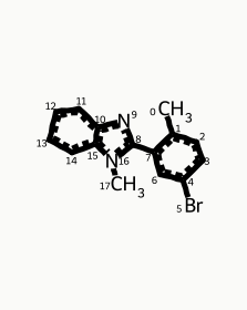 Cc1ccc(Br)cc1-c1nc2ccccc2n1C